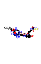 NC(=O)[C@H](CS)NC(=O)CCCCCNC(=O)C(Cc1ccc(O)cc1)NC(=O)CCCC(=O)N[C@]12CNCCNC[C@](NC(=O)CCCC(=O)O)(CNCCNC1)NCCN2